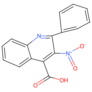 O=C(O)c1c([N+](=O)[O-])c(-c2ccccc2)nc2ccccc12